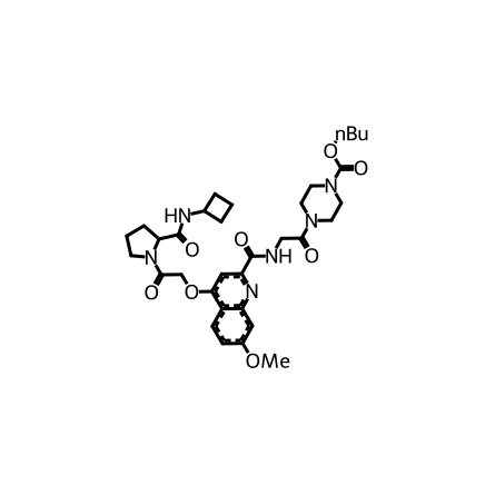 CCCCOC(=O)N1CCN(C(=O)CNC(=O)c2cc(OCC(=O)N3CCCC3C(=O)NC3CCC3)c3ccc(OC)cc3n2)CC1